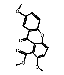 COC(=O)c1c(OC)ccc2oc3ccc(OC)cc3c(=O)c12